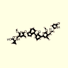 COc1nc(O[C@H]2CCc3c(-c4cccc(-c5cc(C)c(CNC[C@@H]6CCC(=O)N6)c(OC)n5)c4Cl)cccc32)c(C)cc1CNC1(C(=O)O)CC1